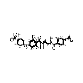 O=C(NCCNC(=O)c1c(F)cc(O[C@H]2CC[C@@H](C(=O)O)CC2)cc1F)c1ccc(C2CC2)cc1